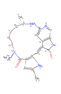 Cc1cc2c([nH]1)/C=C1\C(=O)Nc3cnc(cc31)N[C@@H](C)COCCN(C)C2=O